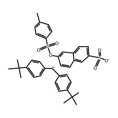 CC(C)(C)c1ccc([I+]c2ccc(C(C)(C)C)cc2)cc1.Cc1ccc(S(=O)(=O)Oc2ccc3cc(S(=O)(=O)[O-])ccc3c2)cc1